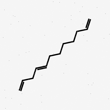 C=CCC=CCCCCCC=C